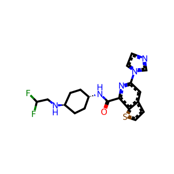 O=C(N[C@H]1CC[C@H](NCC(F)F)CC1)c1nc(-n2ccnc2)cc2ccsc12